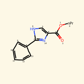 CCCOC(=O)c1c[nH]c(-c2ccccc2)n1